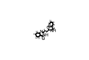 CC(NC(=O)CCc1nc2ccccc2c(=O)[nH]1)c1ccccn1